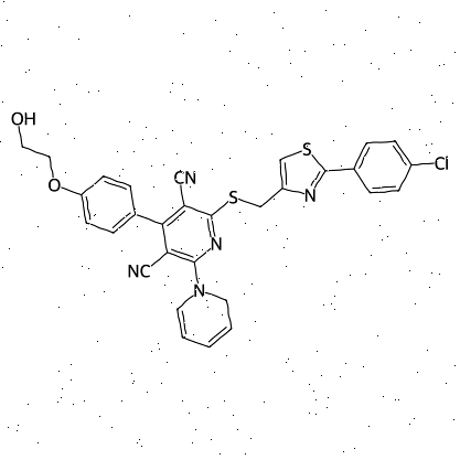 N#Cc1c(SCc2csc(-c3ccc(Cl)cc3)n2)nc(N2C=CC=CC2)c(C#N)c1-c1ccc(OCCO)cc1